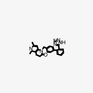 Cc1cc2c(c(C)n1)CCC(=O)N2Cc1ccc(-c2ccccc2-c2nnn[nH]2)cc1